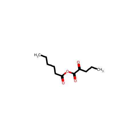 CCCCCC(=O)OC(=O)C(=O)CCC